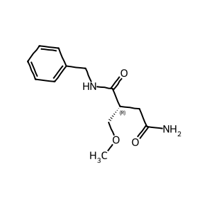 COC[C@@H](CC(N)=O)C(=O)NCc1ccccc1